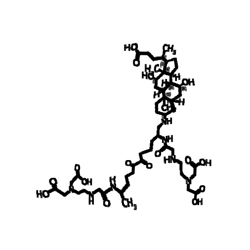 CC(CCCC(=O)C(=O)CCCC(CN[C@H]1CC[C@@]2(C)[C@@H](C1)C[C@@H](O)[C@@H]1[C@@H]2C[C@H](O)[C@]2(C)[C@@H]([C@H](C)CCC(=O)O)CC[C@@H]12)NC(=O)CNCCN(CC(=O)O)CC(=O)O)NC(=O)CNCCN(CC(=O)O)CC(=O)O